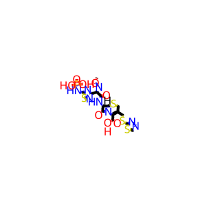 CO/N=C(/C(=O)NC1C(=O)N2C(C(=O)O)=C(CSc3nncs3)CS[C@H]12)c1nsc(NP(=O)(O)O)n1